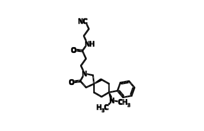 CN(C)[C@]1(c2ccccc2)CC[C@@]2(CC1)CC(=O)N(CCC(=O)NCCC#N)C2